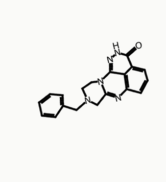 O=c1[nH]nc2c3c(cccc13)N=C1CN(Cc3ccccc3)CCN12